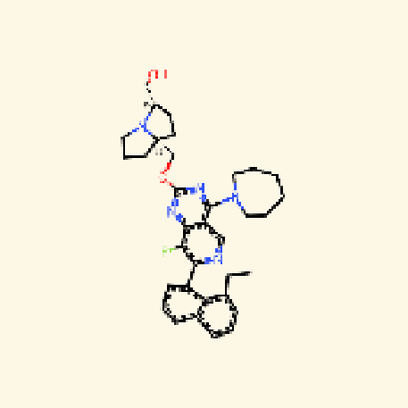 CCc1cccc2cccc(-c3ncc4c(N5CCCCCC5)nc(OC[C@]56CCCN5[C@H](CO)CC6)nc4c3F)c12